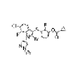 CCCn1cc(-n2c(Br)c(Sc3cccc(OC(=O)C4CC4)c3F)c3ccc(Cl)c(F)c32)cn1